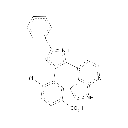 O=C(O)c1ccc(Cl)c(-c2nc(-c3ccccc3)[nH]c2-c2ccnc3[nH]ccc23)c1